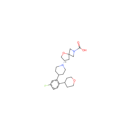 O=C(O)N1CC2(C[C@H](N3CCC(c4cc(F)ccc4C4CCOCC4)CC3)CO2)C1